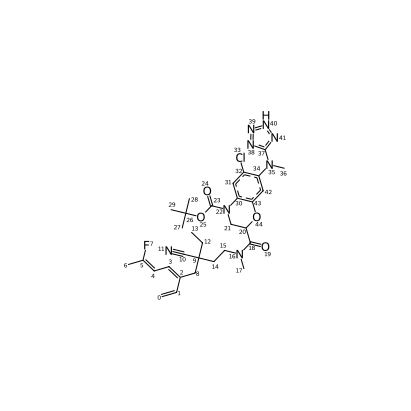 C=CC(=CC=C(C)F)CC(C#N)(CC)CCN(C)C(=O)C1CN(C(=O)OC(C)(C)C)c2cc(Cl)c(N(C)c3nn[nH]n3)cc2O1